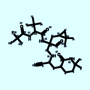 CC1(C)CCC(CC(C#N)NCC(C=O)(CC2CC2(C)C)NC(=O)C(NC(=O)C(F)(F)F)C(C)(C)C)C(=O)N1